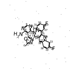 Cc1nnc(-c2c(N)ncnc2NC(C)c2cc3ccc(F)cc3nc2-c2cc(F)ccn2)o1